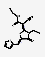 CCNC(=O)/C(C#N)=c1\s/c(=C\c2cccs2)c(=O)n1CC